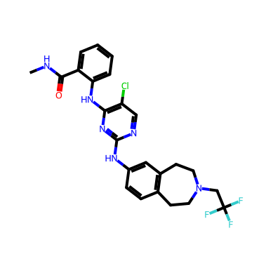 CNC(=O)c1ccccc1Nc1nc(Nc2ccc3c(c2)CCN(CC(F)(F)F)CC3)ncc1Cl